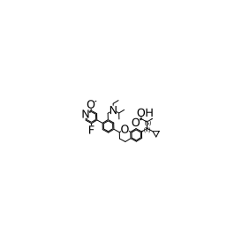 CCN(Cc1cc(C2CCc3ccc([C@H](C4CC4)[C@H](C)C(=O)O)cc3O2)ccc1-c1cc(OC)ncc1F)C(C)C